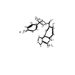 Nc1nc2cc(F)c(C(=O)N3CC(O)(c4ccc(C(F)(F)F)cc4)C3)cc2c2c1COC2